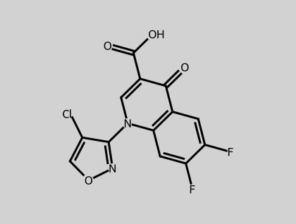 O=C(O)c1cn(-c2nocc2Cl)c2cc(F)c(F)cc2c1=O